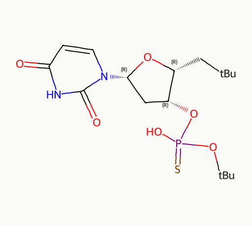 CC(C)(C)C[C@H]1O[C@@H](n2ccc(=O)[nH]c2=O)C[C@H]1OP(O)(=S)OC(C)(C)C